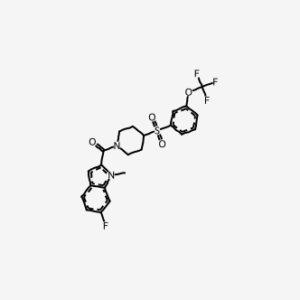 Cn1c(C(=O)N2CCC(S(=O)(=O)c3cccc(OC(F)(F)F)c3)CC2)cc2ccc(F)cc21